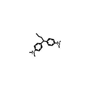 CCCC(c1ccc(N(C)C)cc1)c1ccc(N(C)C)cc1